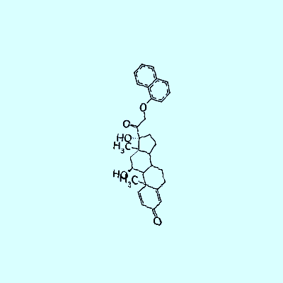 CC12C=CC(=O)C=C1CCC1C2[C@@H](O)CC2(C)C1CC[C@]2(O)C(=O)COc1cccc2ccccc12